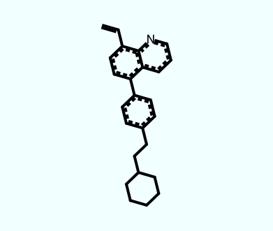 C=Cc1ccc(-c2ccc(CCC3CCCCC3)cc2)c2cccnc12